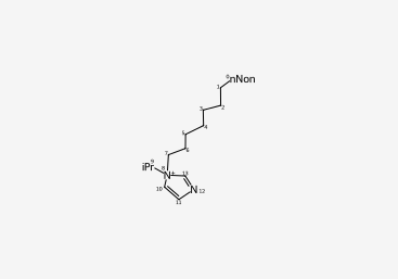 CCCCCCCCCCCCCCCC[N+]1(C(C)C)C=CN=C1